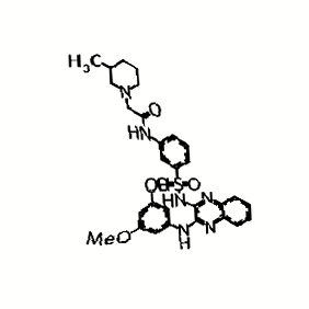 COc1cc(O)cc(Nc2nc3ccccc3nc2NS(=O)(=O)c2cccc(NC(=O)CN3CCCC(C)C3)c2)c1